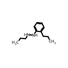 CCCNNc1ccccc1CCC